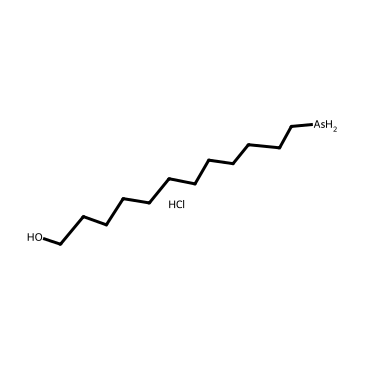 Cl.OCCCCCCCCCCCC[AsH2]